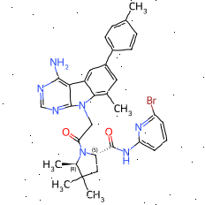 Cc1ccc(-c2cc(C)c3c(c2)c2c(N)ncnc2n3CC(=O)N2[C@H](C(=O)Nc3cccc(Br)n3)CC(C)(C)[C@H]2C)cc1